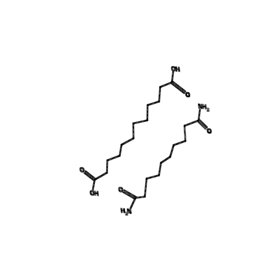 NC(=O)CCCCCCCCC(N)=O.O=C(O)CCCCCCCCCCC(=O)O